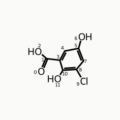 O=C(O)c1cc(O)cc(Cl)c1O